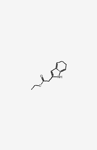 CCOC(=O)Cc1cc2c([nH]1)=CCCC=2